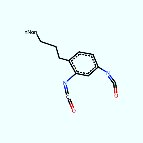 CCCCCCCCCCCCc1ccc(N=C=O)cc1N=C=O